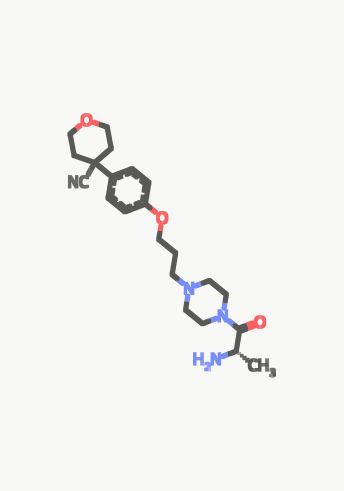 C[C@H](N)C(=O)N1CCN(CCCOc2ccc(C3(C#N)CCOCC3)cc2)CC1